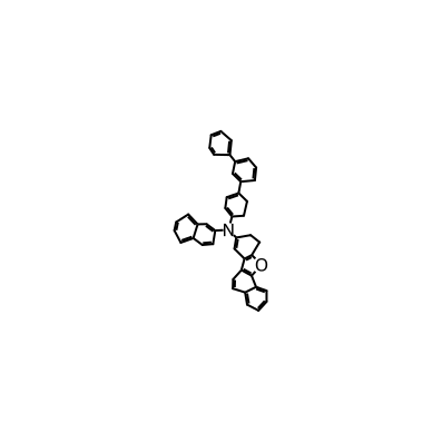 C1=C(c2cccc(-c3ccccc3)c2)CCC(N(C2=Cc3c(oc4c3ccc3ccccc34)CC2)c2ccc3ccccc3c2)=C1